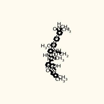 C=CC(=O)Nc1cc(Nc2nc(-c3ccnc(N4CCn5c(cc6c5CC(C)(C)C6)C4=O)c3CO)cn(C)c2=O)ccc1N1CCN(C2CCN(c3ccc4c(c3)C(=O)NC4(C)C)CC2)C[C@@H]1C